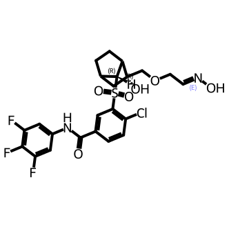 O=C(Nc1cc(F)c(F)c(F)c1)c1ccc(Cl)c(S(=O)(=O)[C@@H]2C3CCC2[C@@](O)(COC/C=N/O)C3)c1